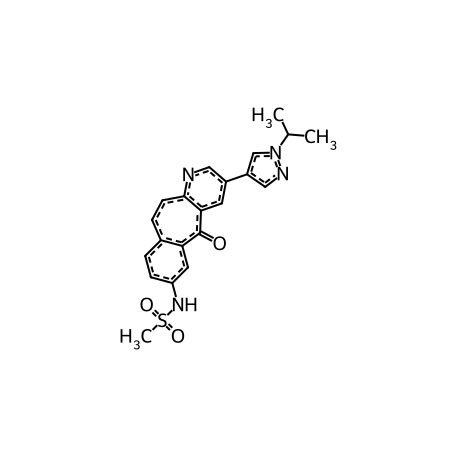 CC(C)n1cc(-c2cnc3ccc4ccc(NS(C)(=O)=O)cc4c(=O)c3c2)cn1